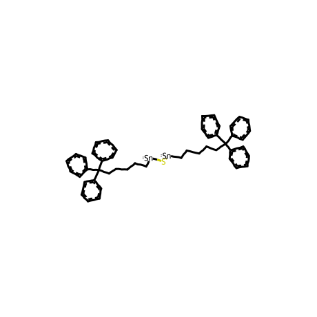 c1ccc(C(CCCC[CH2][Sn][S][Sn][CH2]CCCCC(c2ccccc2)(c2ccccc2)c2ccccc2)(c2ccccc2)c2ccccc2)cc1